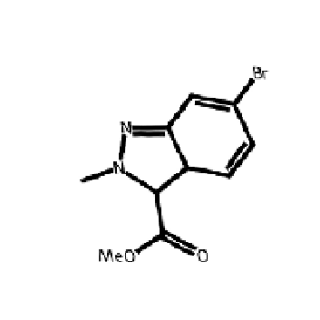 COC(=O)C1C2C=CC(Br)=CC2=NN1C